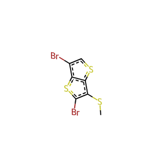 CSc1c(Br)sc2c(Br)csc12